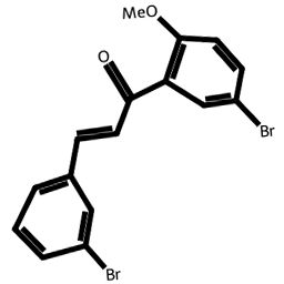 COc1ccc(Br)cc1C(=O)C=Cc1cccc(Br)c1